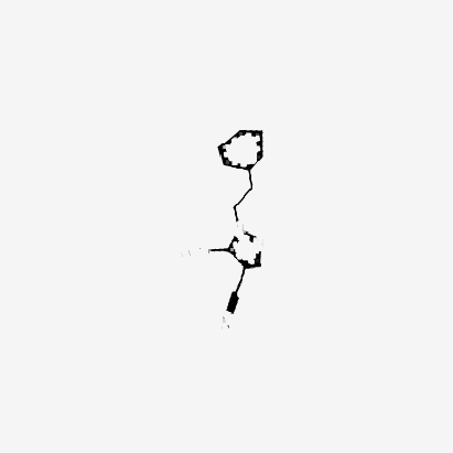 N#Cc1cnn(CCc2ccccc2)c1N